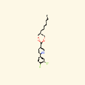 CCCCCCCC1COC(c2ccc(-c3ccc(F)c(F)c3)nc2)OC1